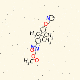 CC(=O)OCc1nc(-c2ccc(C(C)(c3ccc(OCc4ccccn4)cc3)C(C)C)cc2)no1